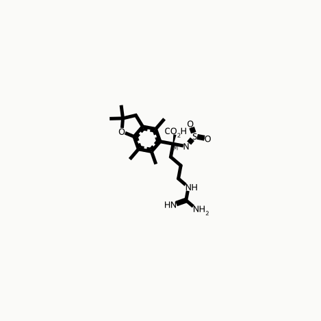 Cc1c(C)c([C@@](CCCNC(=N)N)(N=S(=O)=O)C(=O)O)c(C)c2c1OC(C)(C)C2